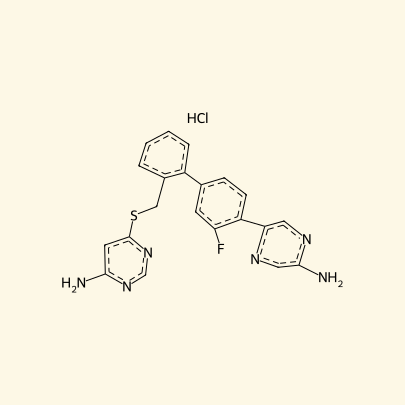 Cl.Nc1cnc(-c2ccc(-c3ccccc3CSc3cc(N)ncn3)cc2F)cn1